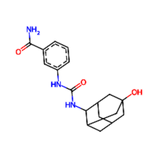 NC(=O)c1cccc(NC(=O)NC2C3CC4CC2CC(O)(C4)C3)c1